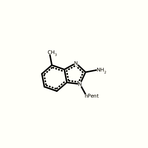 CCCCCn1c(N)nc2c(C)cccc21